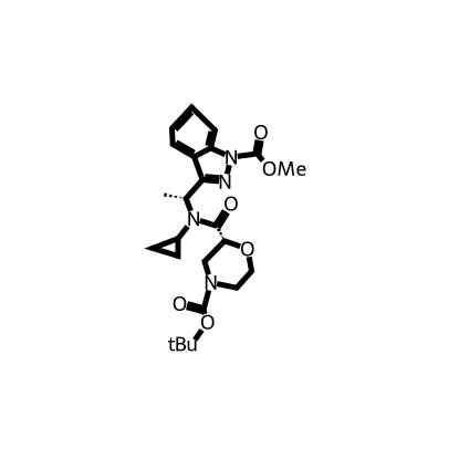 COC(=O)n1nc([C@@H](C)N(C(=O)[C@H]2CN(C(=O)OC(C)(C)C)CCO2)C2CC2)c2ccccc21